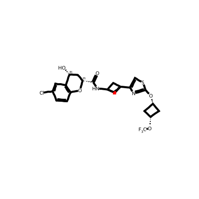 O=C(NC12CC(c3csc(O[C@H]4C[C@@H](OC(F)(F)F)C4)n3)(C1)C2)[C@H]1C[C@@H](O)c2cc(Cl)ccc2O1